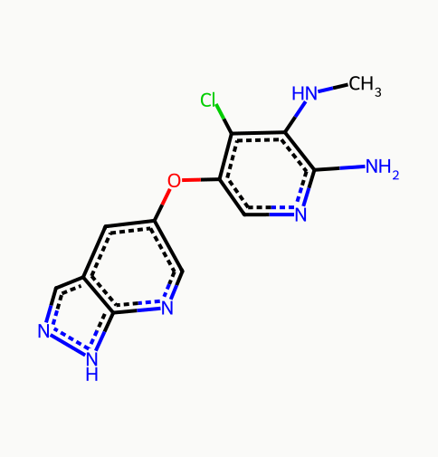 CNc1c(N)ncc(Oc2cnc3[nH]ncc3c2)c1Cl